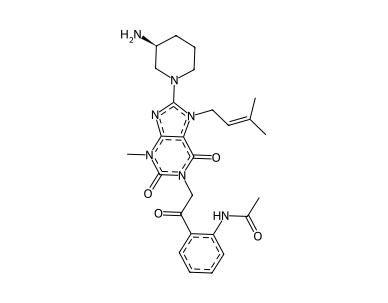 CC(=O)Nc1ccccc1C(=O)Cn1c(=O)c2c(nc(N3CCC[C@H](N)C3)n2CC=C(C)C)n(C)c1=O